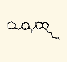 NCCCn1ccc2cnc(Nc3cccc(CN4CCOCC4)c3)nc21